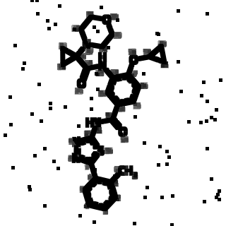 Cc1ccccc1-c1nnc(NC(=O)c2ccc(OC3CC3)c(NC(=O)C3(N4CCOCC4)CC3)c2)s1